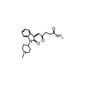 CN1CCC(N2C(=O)/C(=C\C(=O)CCC(N)=O)c3ccccc32)CC1